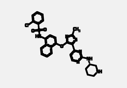 Cc1nc(Oc2ccc(NS(=O)(=O)c3ccccc3Cl)c3ccccc23)c(-c2ccnc(N[C@H]3CCCNC3)n2)s1